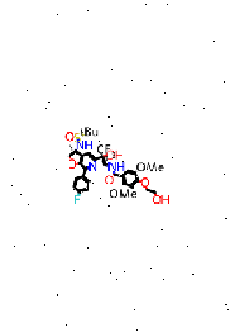 COc1cc(C(=O)NC[C@@](O)(c2cc3c(c(-c4ccc(F)cc4)n2)OC[C@@]3(C)N[S+]([O-])C(C)(C)C)C(F)(F)F)cc(OC)c1OCCO